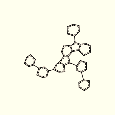 c1ccc(-c2cccc(-c3ccc4c(c3)c3ccc5c(c6ccccc6n5-c5ccccc5)c3n4-c3cccc(-c4ccccc4)c3)c2)cc1